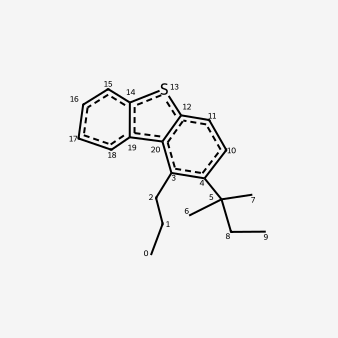 CCCc1c(C(C)(C)CC)ccc2sc3ccccc3c12